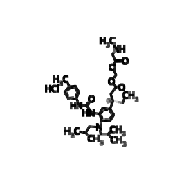 CC[C@@H](CC(=O)OCOC(=O)CNC)c1ccc(N(CC(C)C)CC(C)C)c(NC(=O)Nc2ccc(C)cc2)c1.Cl